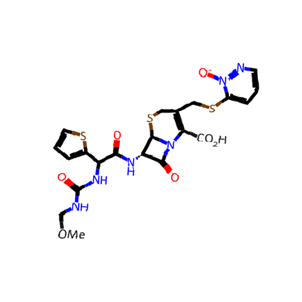 COCNC(=O)NC(C(=O)N[C@H]1C(=O)N2C(C(=O)O)=C(CSc3cccn[n+]3[O-])CSC12)c1cccs1